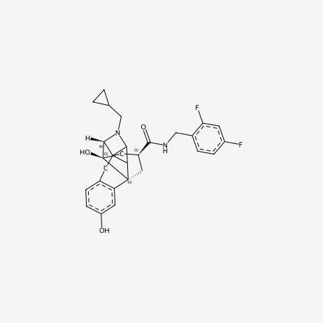 O=C(NCc1ccc(F)cc1F)[C@@H]1C[C@@]2(O)[C@@H]3N(CC4CC4)C4C5C43Cc3ccc(O)cc3[C@]52C1